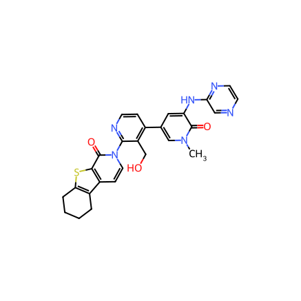 Cn1cc(-c2ccnc(-n3ccc4c5c(sc4c3=O)CCCC5)c2CO)cc(Nc2cnccn2)c1=O